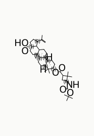 C=C(C)[C@@H]1CC[C@]2(C(=O)O)CC[C@]3(C)C(CC[C@@H]4[C@@]5(C)CC[C@H](OC(=O)C6C[C@@H](NC(=O)OC(C)(C)C)C6(C)C)C(C)(C)[C@@H]5CC[C@]43C)C12